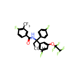 O=C(O)CC(NC(=O)c1ccc(F)c(C(F)(F)F)c1)(c1ccc(F)cc1)c1cc(F)cc(OC(F)(F)C(F)F)c1